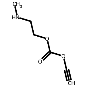 C#COC(=O)OCCNC